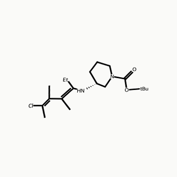 CC/C(N[C@@H]1CCCN(C(=O)OC(C)(C)C)C1)=C(C)\C(C)=C(/C)Cl